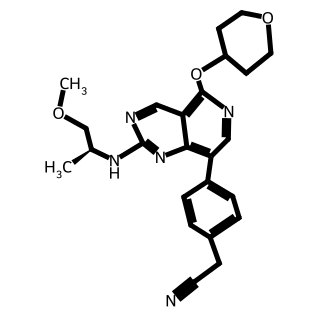 COC[C@H](C)Nc1ncc2c(OC3CCOCC3)ncc(-c3ccc(CC#N)cc3)c2n1